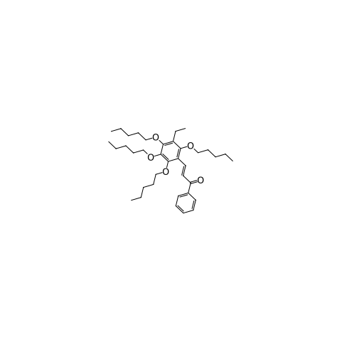 CCCCCOc1c(C=CC(=O)c2ccccc2)c(OCCCCC)c(OCCCCC)c(OCCCCC)c1CC